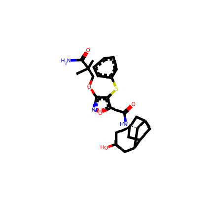 CC(C)(COc1noc(C(=O)N[C@@H]2C3CC4CC(O)CC2C(C4)C3)c1Sc1ccccc1)C(N)=O